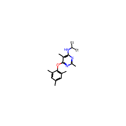 CCC(CC)Nc1nc(C)nc(Oc2c(C)cc(C)cc2C)c1C